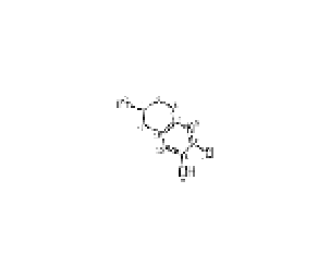 CC(C)C1CCc2nc(Cl)c(O)cc2C1